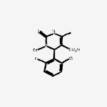 CCN1C(=S)NC(C)=C(C(=O)O)C1c1c(F)cccc1Cl